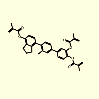 C=C(C)C(=O)Oc1ccc(-c2ccc(-c3ccc(OC(=O)C(=C)C)c4c3CCC4)c(C)c2)cc1OC(=O)C(=C)C